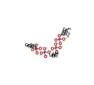 O=P([O-])([O-])[O-].O=P([O-])([O-])[O-].O=P([O-])([O-])[O-].O=P([O-])([O-])[O-].[AlH3].[AlH3].[AlH3].[Ge+4].[Ge+4].[Ge+4].[LiH].[LiH].[LiH]